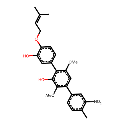 COc1cc(-c2ccc(C)c([N+](=O)[O-])c2)c(OC)c(O)c1-c1ccc(OCC=C(C)C)c(O)c1